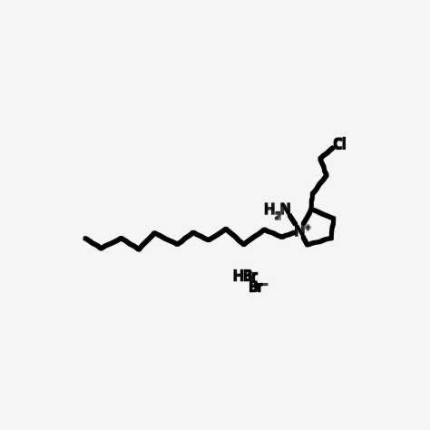 Br.CCCCCCCCCCCC[N+]1(N)CCCC1CCCCl.[Br-]